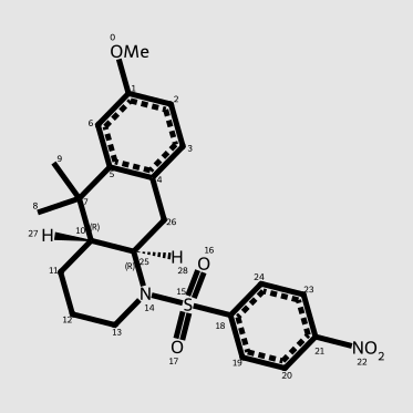 COc1ccc2c(c1)C(C)(C)[C@H]1CCCN(S(=O)(=O)c3ccc([N+](=O)[O-])cc3)[C@@H]1C2